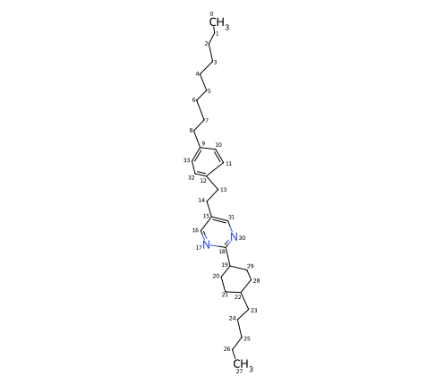 CCCCCCCCCc1ccc(CCc2cnc(C3CCC(CCCCC)CC3)nc2)cc1